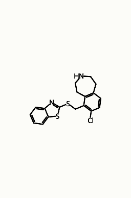 Clc1ccc2c(c1CSc1nc3ccccc3s1)CCNCC2